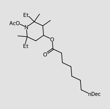 CCCCCCCCCCCCCCCCC(=O)OC1CC(C)(CC)N(OC(C)=O)C(C)(CC)C1C